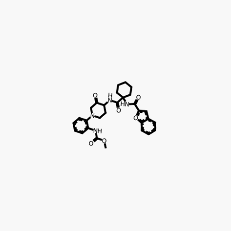 COC(=O)Nc1ccccc1N1CCC(NC(=O)C2(NC(=O)c3cc4ccccc4o3)CCCCC2)C(=O)C1